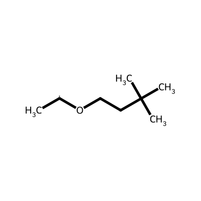 C[CH]OCCC(C)(C)C